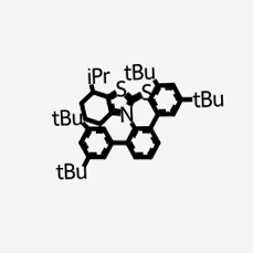 CC(C)C1CCCc2c1sc(=S)n2-c1c(-c2cc(C(C)(C)C)cc(C(C)(C)C)c2)cccc1-c1cc(C(C)(C)C)cc(C(C)(C)C)c1